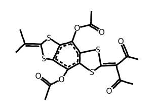 CC(=O)Oc1c2c(c(OC(C)=O)c3c1SC(=C(C(C)=O)C(C)=O)S3)SC(=C(C)C)S2